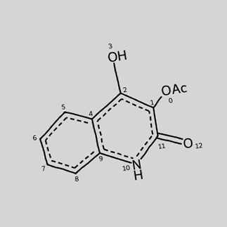 CC(=O)Oc1c(O)c2ccccc2[nH]c1=O